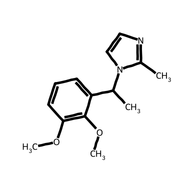 COc1cccc(C(C)n2ccnc2C)c1OC